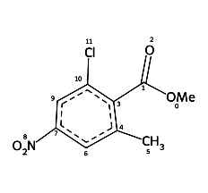 COC(=O)c1c(C)cc([N+](=O)[O-])cc1Cl